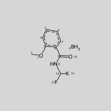 B.COc1ccccc1C(=O)N[CH](F)[K]